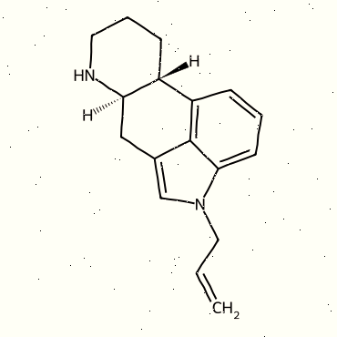 C=CCn1cc2c3c(cccc31)[C@H]1CCCN[C@@H]1C2